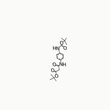 CC(C)(C)OC(=O)CC(=O)Nc1ccc(NC(=O)OC(C)(C)C)cc1